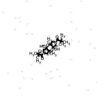 CC(C)(C)C(=O)N1C[C@]2(C)O[C@@]3(O)CN(C(=O)C(C)(C)C)C[C@]3(C)O[C@@]2(O)C1